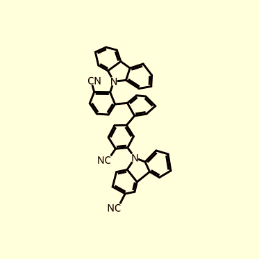 N#Cc1ccc2c(c1)c1ccccc1n2-c1cc(-c2ccccc2-c2cccc(C#N)c2-n2c3ccccc3c3ccccc32)ccc1C#N